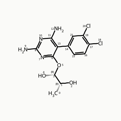 C[C@@H](O)[C@H](O)Oc1nc(N)nc(N)c1-c1ccc(Cl)c(Cl)c1